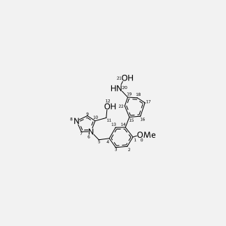 COc1ccc(Cn2cncc2CO)cc1-c1cccc(NO)c1